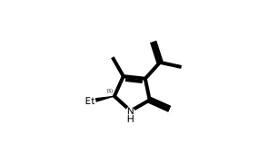 C=C(C)C1=C(C)[C@H](CC)NC1=C